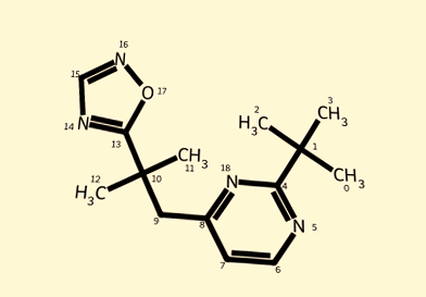 CC(C)(C)c1nccc(CC(C)(C)c2ncno2)n1